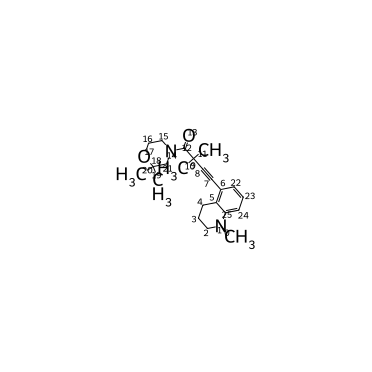 CN1CCCc2c(C#CC(C)(C)C(=O)N3CCOC(C)(C)C3)cccc21